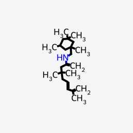 C=C(C)/C=C/CC(C)(C)CC(=C)NCC1(C)CC(C)CC(C)(C)C1